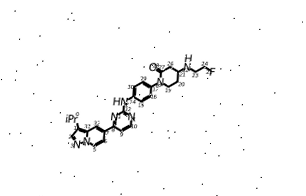 CC(C)c1cnn2ccc(-c3ccnc(Nc4ccc(N5CCC(NCCF)CC5=O)cc4)n3)cc12